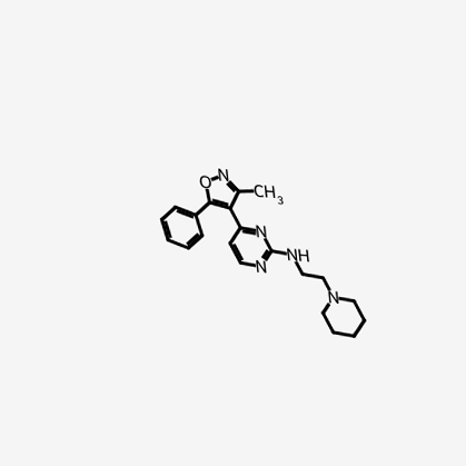 Cc1noc(-c2ccccc2)c1-c1ccnc(NCCN2CCCCC2)n1